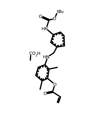 C=CC(=O)Oc1c(C)ccc(NCc2cccc(NC(=O)OC(C)(C)C)c2)c1C.CC(=O)O